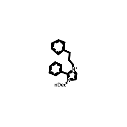 CCCCCCCCCCn1cc[n+](CCCc2ccccc2)c1-c1ccccc1